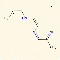 C/C=C\N/C=C\N=C/C(C)=N